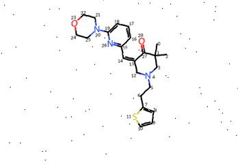 CC1(C)CN(CCc2cccs2)CC(=Cc2cccc(N3CCOCC3)n2)C1=O